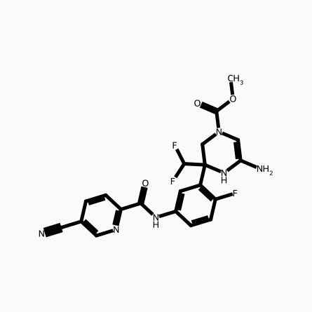 COC(=O)N1C=C(N)NC(c2cc(NC(=O)c3ccc(C#N)cn3)ccc2F)(C(F)F)C1